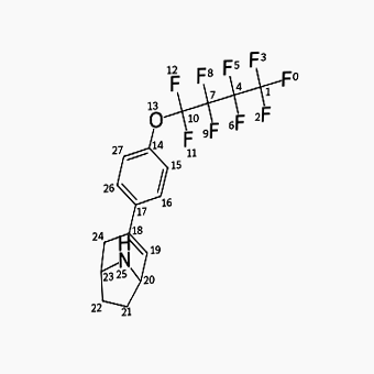 FC(F)(F)C(F)(F)C(F)(F)C(F)(F)Oc1ccc(C2=CC3CCC(C2)N3)cc1